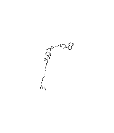 CCCCCCCCCCCCCCCC(=O)Oc1ccc2ccc(OCCCCN3CCN(c4cccc5sccc45)CC3)cc2n1